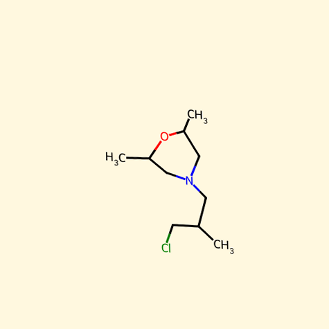 CC(CCl)CN1CC(C)OC(C)C1